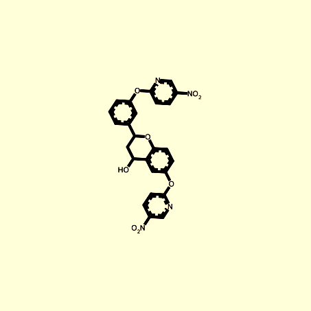 O=[N+]([O-])c1ccc(Oc2cccc(C3CC(O)c4cc(Oc5ccc([N+](=O)[O-])cn5)ccc4O3)c2)nc1